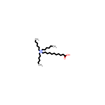 CCCCCC[N+](CCCCCC)(CCCCCC)CCCCCCCCCCC(=O)O